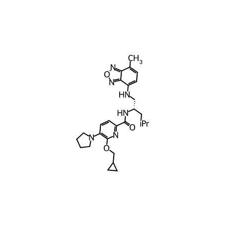 Cc1ccc(NC[C@H](CC(C)C)NC(=O)c2ccc(N3CCCC3)c(OCC3CC3)n2)c2nonc12